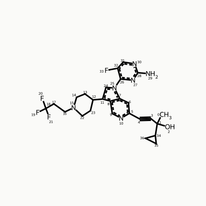 CC(O)(C#Cc1cc2c(cn1)c(C1CCN(CCC(F)(F)F)CC1)cn2-c1nc(N)ncc1F)C1CC1